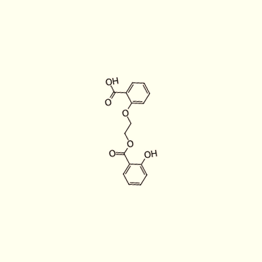 O=C(OCCOc1ccccc1C(=O)O)c1ccccc1O